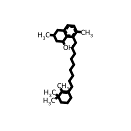 CC1=C(CCCCCCCCCc2c(C)ccc3c2C(O)CC(C)C3)CCCC1(C)C